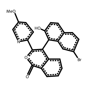 COc1ccc(-c2oc(=O)c3ccccc3c2-c2c(O)ccc3ccc(Br)cc23)nc1